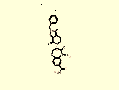 CNC(=O)c1ccc2c(c1)N(C)C(=O)[C@@H](N1CCc3c(nn(Cc4ccccc4)c3Cl)C1=O)CO2